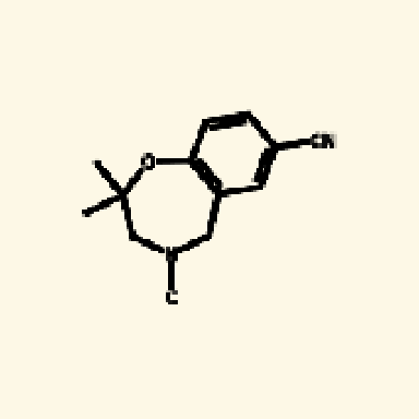 CC1(C)CN(Cl)Cc2cc(C#N)ccc2O1